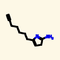 C#CCCCCCC1=CCC(N)=N1